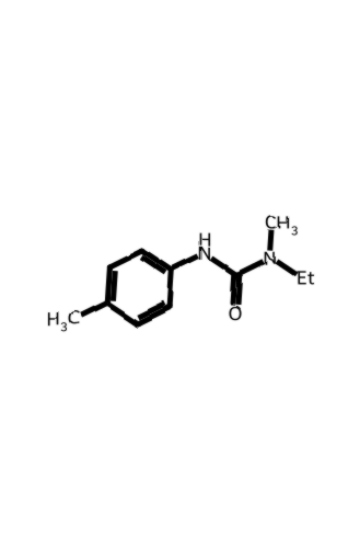 CCN(C)C(=O)Nc1ccc(C)cc1